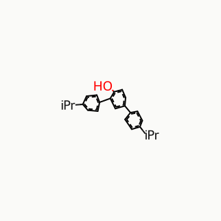 CC(C)c1ccc(-c2ccc(O)c(-c3ccc(C(C)C)cc3)c2)cc1